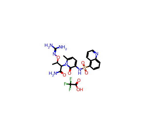 Cc1ccc(NS(=O)(=O)c2cccc3ncccc23)c(=O)n1C(C(N)=O)C(C)ON=C(N)N.O=C(O)C(F)(F)F